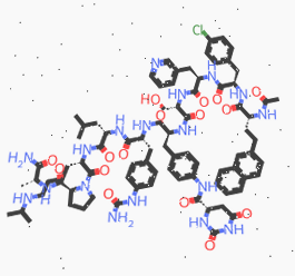 CC(=O)N[C@H](CCc1ccc2ccccc2c1)C(=O)N[C@H](Cc1ccc(Cl)cc1)C(=O)N[C@H](Cc1cccnc1)C(=O)N[C@@H](CO)C(=O)N[C@@H](Cc1ccc(NC(=O)[C@@H]2CC(=O)NC(=O)N2)cc1)C(=O)N[C@H](Cc1ccc(NC(N)=O)cc1)C(=O)N[C@@H](CC(C)C)C(=O)N[C@@H](CCCCNC(C)C)C(=O)N1CCC[C@H]1C(=O)N[C@H](C)C(N)=O